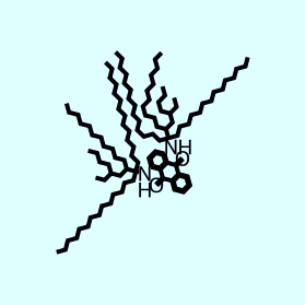 CCCCCCCCCCCCCCC(CCCCCCCCCCCCCC)(Nc1ccc(NC(CCCCCCCCCCCCCC)(CCCCCCCCCCCCCC)C(CCCCCCCCCCC)CC(CC)CCCC)c2c1C(=O)c1ccccc1C2=O)C(CCCCCCCCCCC)CC(CC)CCCC